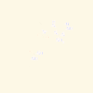 Nc1nc(NC2Cc3ccccc3N(S(=O)(=O)c3ccc(NC(=O)NC4CCCc5ccccc54)cc3)C2)c2cn[nH]c2n1